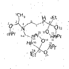 CCCOC(C)N(CCPC(CC)(OCCC)OCCC)CCPC(CC)(OCCC)OCCC